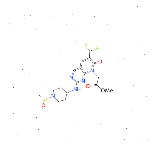 COC(=O)Cn1c(=O)c(C(F)F)cc2cnc(NC3CCN([S+](C)[O-])CC3)nc21